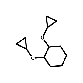 C1CCC(OC2CC2)C(OC2CC2)C1